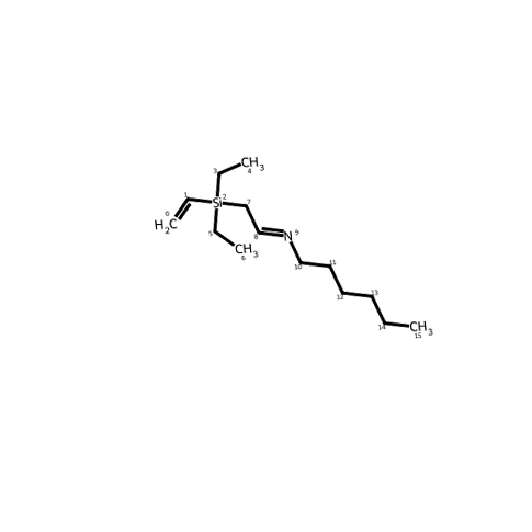 C=C[Si](CC)(CC)CC=NCCCCCC